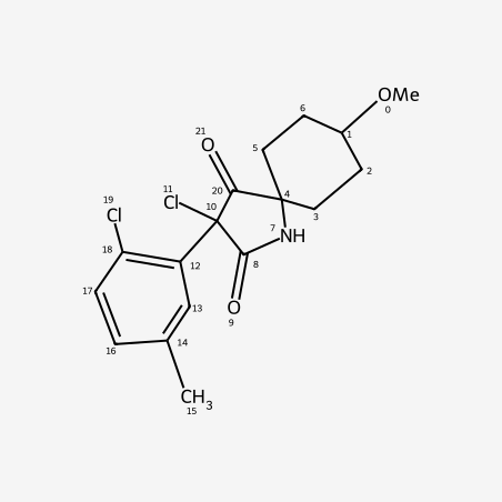 COC1CCC2(CC1)NC(=O)C(Cl)(c1cc(C)ccc1Cl)C2=O